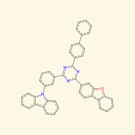 c1ccc(-c2ccc(-c3nc(-c4cccc(-n5c6ccccc6c6ccccc65)c4)nc(-c4ccc5c(c4)oc4ccccc45)n3)cc2)cc1